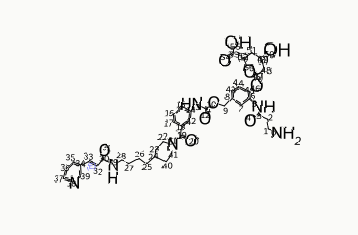 NCCC(=O)Nc1cc(COC(=O)Nc2cccc(C(=O)N3CCC(CCCCNC(=O)/C=C/c4cccnc4)CC3)c2)ccc1O[C@H]1C[C@@H](O)C[C@@H](C(=O)O)O1